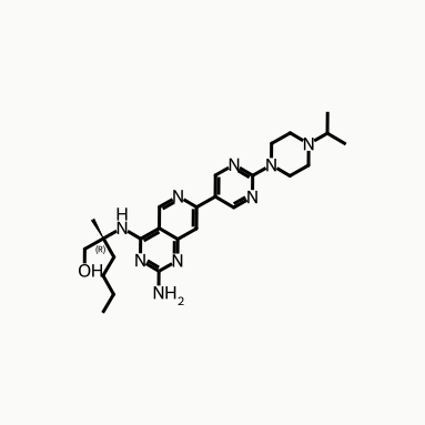 CCCC[C@](C)(CO)Nc1nc(N)nc2cc(-c3cnc(N4CCN(C(C)C)CC4)nc3)ncc12